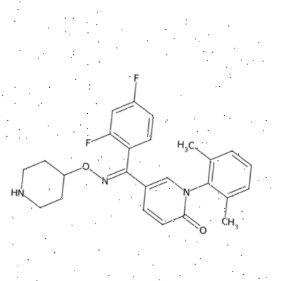 Cc1cccc(C)c1-n1cc(C(=NOC2CCNCC2)c2ccc(F)cc2F)ccc1=O